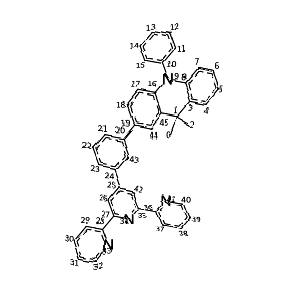 CC1(C)c2ccccc2N(c2ccccc2)c2ccc(-c3cccc(-c4cc(-c5ccccn5)nc(-c5ccccn5)c4)c3)cc21